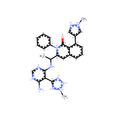 CC(Nc1ncnc(N)c1-c1nnn(C)n1)c1cc2cccc(-c3cnn(C)c3)c2c(=O)n1-c1ccccc1